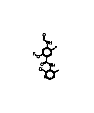 Cc1ccnc(Cl)c1NC(=O)c1cc(F)c(NC=O)cc1OF